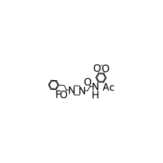 CC(=O)c1cc2c(cc1NC(=O)CN1CCN(C(=O)Cc3ccccc3F)CC1)OCO2